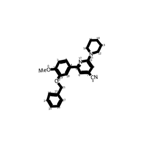 COc1ccc(-c2cc(C#N)cc(N3CCCCC3)n2)cc1OCc1ccccc1